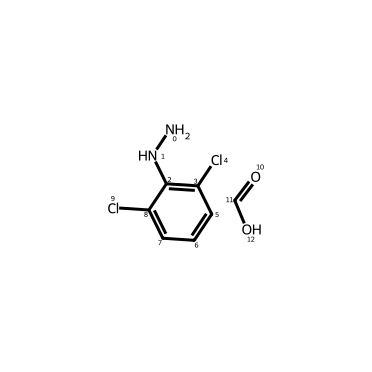 NNc1c(Cl)cccc1Cl.O=CO